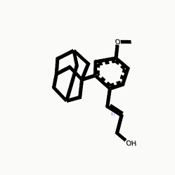 COc1ccc(/C=C/CO)c(C23CC4CC(CC(C4)C2)C3)c1